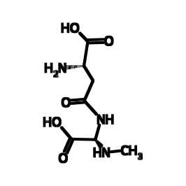 CN[C@H](NC(=O)C[C@H](N)C(=O)O)C(=O)O